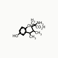 CC(CC(C)(N)C(=O)O)C(C)c1cc(O)ccc1O